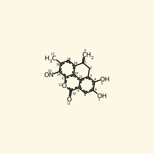 C=C1Cc2c(O)c(O)cc3c(=O)oc4c(N=O)c(C)cc1c4c23